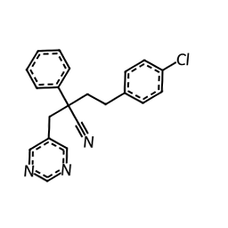 N#CC(CCc1ccc(Cl)cc1)(Cc1cncnc1)c1ccccc1